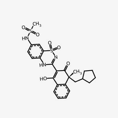 C[C@]1(CC2CCCC2)C(=O)C(C2=NS(=O)(=O)c3cc(NS(C)(=O)=O)ccc3N2)=C(O)c2ccccc21